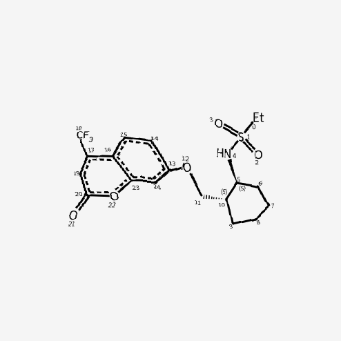 CCS(=O)(=O)N[C@H]1CCCC[C@@H]1COc1ccc2c(C(F)(F)F)cc(=O)oc2c1